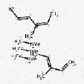 C=CC(C)=CC.CC=C(C)C=[CH][Ti+3].C[N-]C.C[N-]C.C[N-]C